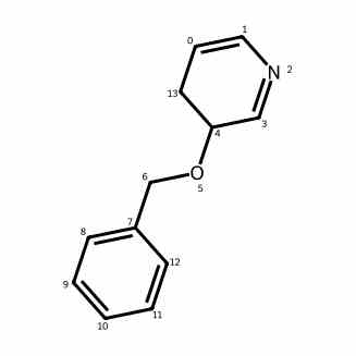 C1=CN=CC(OCc2ccccc2)C1